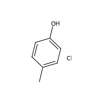 Cc1ccc(O)cc1.[C]